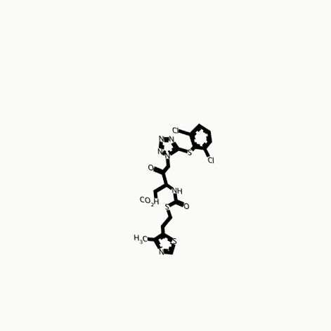 Cc1ncsc1CCSC(=O)NC(CC(=O)O)C(=O)Cn1nnnc1Sc1c(Cl)cccc1Cl